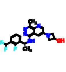 Cc1nnc(N[C@H](C)c2cccc(C(F)F)c2F)c2cc(N3CC(O)C3)cnc12